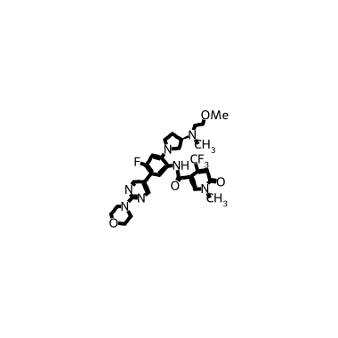 COCCN(C)[C@@H]1CCN(c2cc(F)c(-c3cnc(N4CCOCC4)nc3)cc2NC(=O)c2cn(C)c(=O)cc2C(F)(F)F)C1